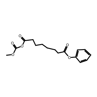 COC(=O)OC(=O)CCCCCCC(=O)Oc1ccccc1